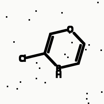 ClC1=COC=CB1